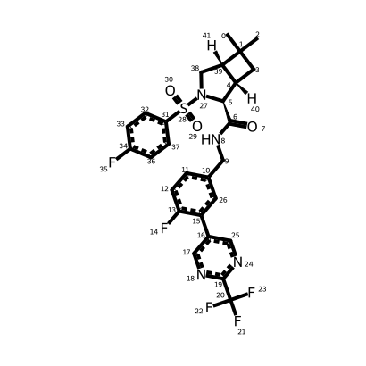 CC1(C)C[C@@H]2[C@@H](C(=O)NCc3ccc(F)c(-c4cnc(C(F)(F)F)nc4)c3)N(S(=O)(=O)c3ccc(F)cc3)C[C@@H]21